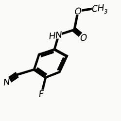 COC(=O)Nc1ccc(F)c(C#N)c1